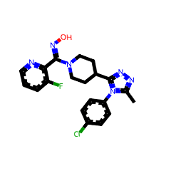 Cc1nnc(C2CCN(/C(=N\O)c3ncccc3F)CC2)n1-c1ccc(Cl)cc1